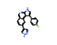 Fc1ccc(-c2c[nH]c3ncc4ccc(-c5cn[nH]c5)cc4c23)cc1